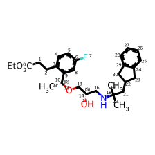 CCOC(=O)CCc1ccc(F)cc1[C@@H](C)OC[C@@H](O)CNC(C)(C)CC1Cc2ccccc2C1